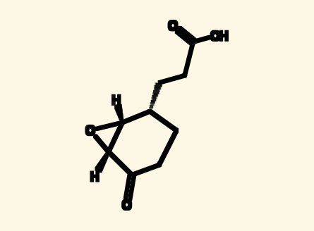 O=C(O)CC[C@@H]1CCC(=O)[C@@H]2O[C@H]12